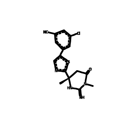 CN1C(=N)N[C@](C)(c2ncc(-c3cc(Cl)cc(C#N)c3)s2)CC1=O